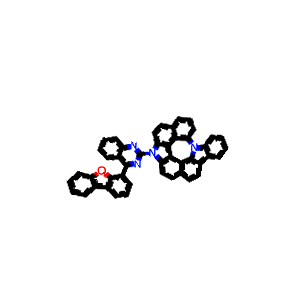 c1ccc2c(-c3cccc4c3oc3ccccc34)nc(-n3c4ccc5cccc6c5c4c4c5c(ccc7c8ccccc8n6c75)ccc43)nc2c1